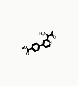 COC(=O)c1ccc(-c2ccnc(C(N)C(C)=O)c2)cc1